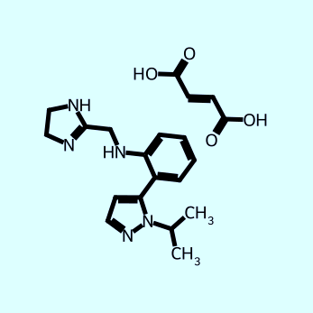 CC(C)n1nccc1-c1ccccc1NCC1=NCCN1.O=C(O)C=CC(=O)O